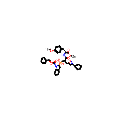 CC(C)(C)OC(=O)[C@H](Cc1ccc(OC(C)(C)C)cc1)NC(=O)C(Cc1cc(-c2ccccc2)no1)CP(=O)(O)C(Cc1ccccc1)NC(=O)OCc1ccccc1